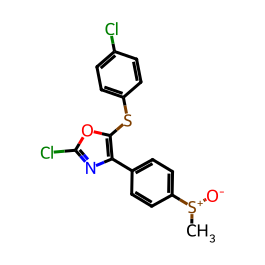 C[S+]([O-])c1ccc(-c2nc(Cl)oc2Sc2ccc(Cl)cc2)cc1